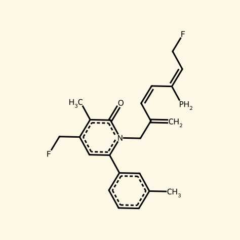 C=C(/C=C\C(P)=C/CF)Cn1c(-c2cccc(C)c2)cc(CF)c(C)c1=O